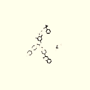 Cc1cc(C[C@@H](NC(=O)N2CCC(c3cc4ccccc4[nH]c3=O)CC2)C(=O)N2CCN(C3CCN(C)CC3)CC2)cc2cn(COC(=O)C3(c4ccccc4)CC3)nc12.O=C(O)C(F)(F)F